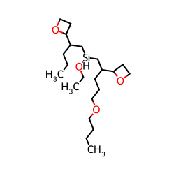 CCCCOCCCC(C[SiH](CC(CCC)C1CCO1)OCC)C1CCO1